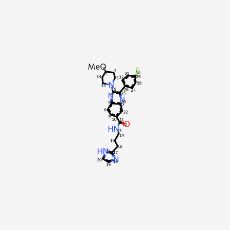 COC1CCN(c2nc3ccc(C(=O)NCCCc4ncc[nH]4)cc3nc2-c2ccc(F)cc2)CC1